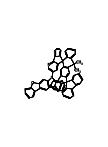 CC1(C)c2ccccc2C2(c3cc4c(cc31)C1(c3ccccc3-c3ccccc31)c1ccccc1-4)c1cccnc1-c1ncc(-n3c4ccccc4c4cc5c(cc43)oc3ccccc35)cc12